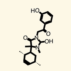 C[C@@H]1C#C[C@H](C)C(C2(C)C(=O)N(CC(=O)c3cccc(O)c3)C(O)N2C)C1